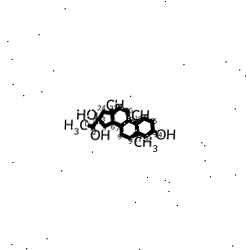 CC(O)[C@@]1(O)CC2C3CCC4(C)C[C@H](O)CCC4(C)C3CCC2(C)C1